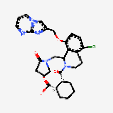 O=C(O)[C@H]1CCCC[C@H]1C(=O)N1CCc2c(Cl)ccc(OCc3cn4cccnc4n3)c2C1CN1CCCC1=O